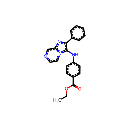 CCOC(=O)c1ccc(Nc2c(-c3ccccc3)nc3cnccn23)cc1